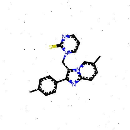 Cc1ccc(-c2nc3ccc(C)cn3c2Cn2cccnc2=S)cc1